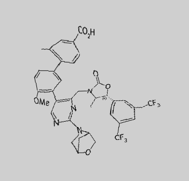 COc1ccc(-c2ccc(C(=O)O)cc2C)cc1-c1cnc(N2CC3CC2CO3)nc1CN1C(=O)O[C@H](c2cc(C(F)(F)F)cc(C(F)(F)F)c2)C1C